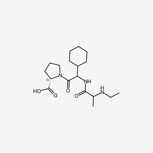 CCNC(C)C(=O)NC(C(=O)N1CCC[C@H]1C(=O)O)C1CCCCC1